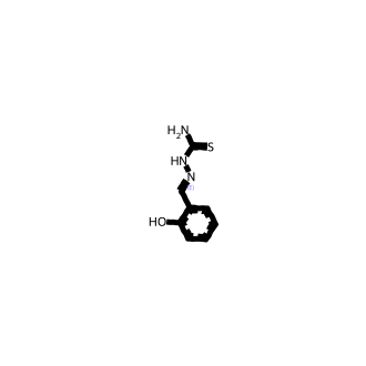 NC(=S)N/N=C/c1ccccc1O